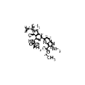 CCOC(=O)c1c(N)nn2ccc(-c3cc4c(c(NS(C)(=O)=O)c3)C(=O)N([C@@H](C)C3CC3)C4)nc12